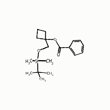 CC(C)(C)[Si](C)(C)OCC1(OC(=O)c2ccccc2)CCC1